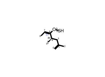 C=C(C)C[C@@H](I)/C(=C\C)OS